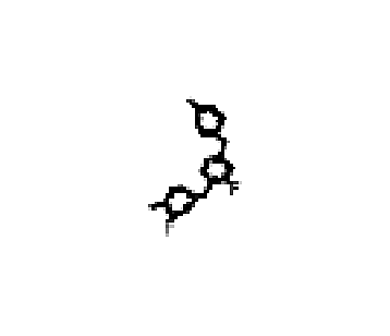 Cc1ccc(Cc2ccc(Cc3ccc(C)c(F)c3)c(F)c2)cc1